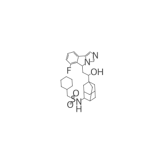 O=S(=O)(CC1CCCCC1)NC1C2CC3CC1CC(C(O)CC1c4c(F)cccc4-c4cncn41)(C3)C2